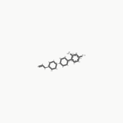 C=CC[C@H]1CC[C@H](C2CCC(c3ccc(F)cc3F)CC2)CC1